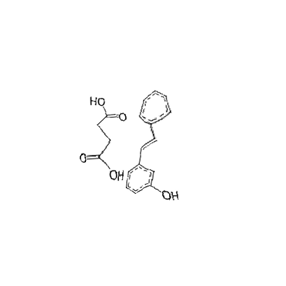 O=C(O)CCC(=O)O.Oc1cccc(C=Cc2ccccc2)c1